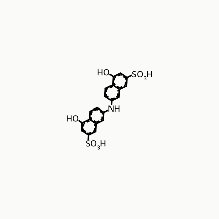 O=S(=O)(O)c1cc(O)c2ccc(Nc3ccc4c(O)cc(S(=O)(=O)O)cc4c3)cc2c1